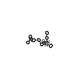 c1ccc(-c2ccc(-c3nc(-c4ccccc4)nc4c3oc3c(-c5cccc(-c6ccc7c(c6)c6ccccc6n7-c6ccccc6)c5)cccc34)cc2)cc1